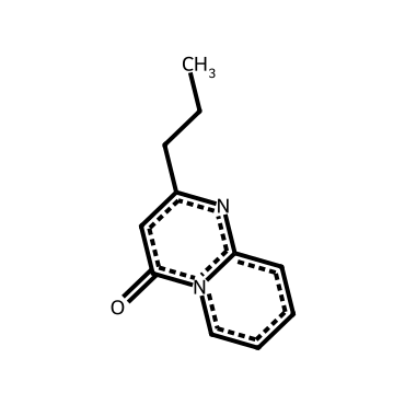 CCCc1cc(=O)n2ccccc2n1